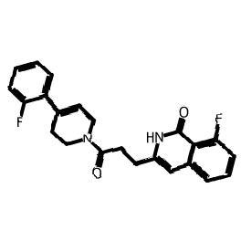 O=C(CCc1cc2cccc(F)c2c(=O)[nH]1)N1CC=C(c2ccccc2F)CC1